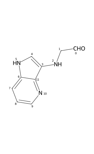 O=CCNc1c[nH]c2cccnc12